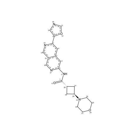 O=C(Nc1cc2cc(-c3cnco3)ncc2cn1)[C@H]1C[C@H](N2CCOCC2)C1